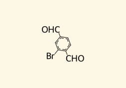 O=Cc1ccc(C=O)c(Br)c1